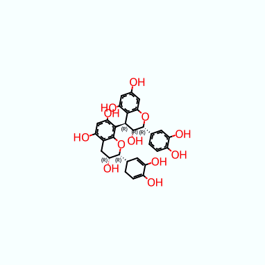 OC1=CCC([C@H]2Oc3c(c(O)cc(O)c3[C@H]3c4c(O)cc(O)cc4O[C@H](c4ccc(O)c(O)c4)[C@@H]3O)C[C@H]2O)C=C1O